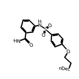 CCCCCCCCCCCCOc1ccc(S(=O)(=O)Nc2cccc(C([NH])=O)c2)cc1